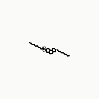 CCCCCCCCCC(=O)O[C@H]1CCC2C(CCC3C[C@@H](CCCCCCCCC)CCC32)C1